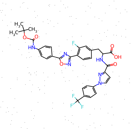 CC(C)(C)OC(=O)Nc1ccc(-c2nc(-c3ccc(CC(NC(=O)c4ccn(-c5ccc(C(F)(F)F)cc5)n4)C(=O)O)cc3F)no2)cc1